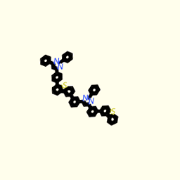 c1ccc(-c2cc(-c3ccc(-c4cccc5c4sc4ccc(-c6cccc(-c7cc(-c8cccc(-c9ccc%10sc%11ccccc%11c%10c9)c8)nc(-c8ccccc8)n7)c6)cc45)cc3)nc(-c3ccccc3)n2)cc1